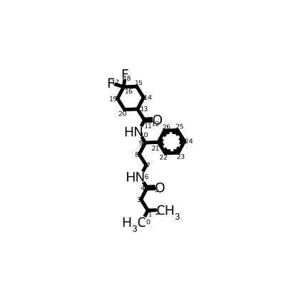 CC(C)CC(=O)NCCC(NC(=O)C1CCC(F)(F)CC1)c1ccccc1